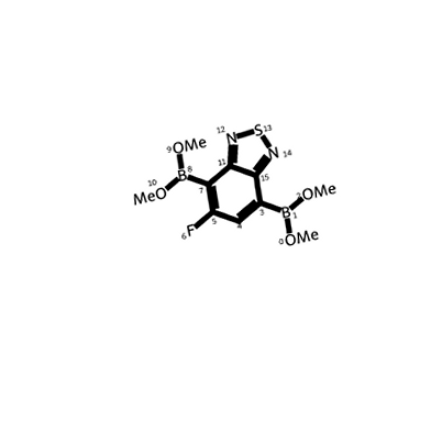 COB(OC)c1cc(F)c(B(OC)OC)c2nsnc12